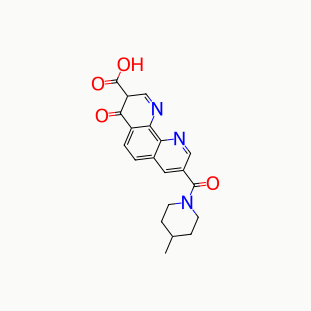 CC1CCN(C(=O)c2cnc3c4c(ccc3c2)C(=O)C(C(=O)O)C=N4)CC1